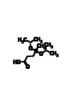 CC(C)O[Si](C)(CCC(=O)O)OC(C)C